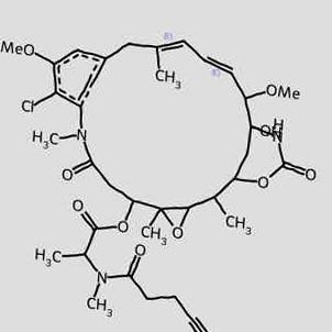 C#CCCC(=O)N(C)C(C)C(=O)OC1CC(=O)N(C)c2cc(cc(OC)c2Cl)C/C(C)=C/C=C/C(OC)C2(O)CC(OC(=O)N2)C(C)C2OC12C